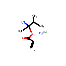 C=CC(=O)OC(C)(N)C(C)C.Cl.N